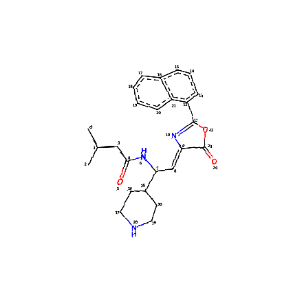 CC(C)CC(=O)NC(C=C1N=C(c2cccc3ccccc23)OC1=O)C1CCNCC1